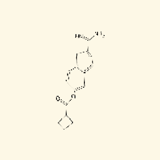 N=C(N)c1ccc2cc(OC(=O)C3CCC3)ccc2c1